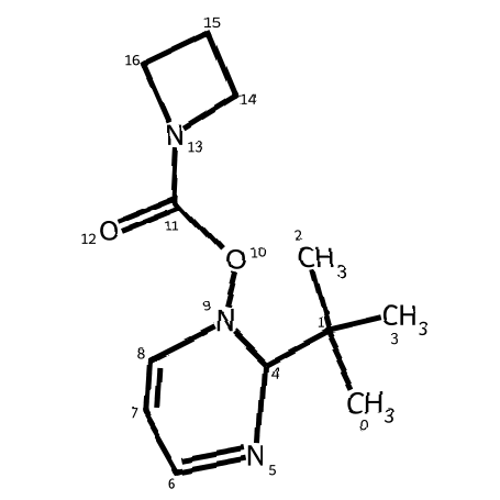 CC(C)(C)C1N=CC=CN1OC(=O)N1CCC1